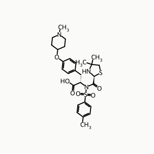 Cc1ccc(S(=O)(=O)N(C(=O)[C@H]2NC(C)(C)CS2)[C@@H](Cc2ccc(OC3CCN(C)CC3)cc2)C(=O)O)cc1